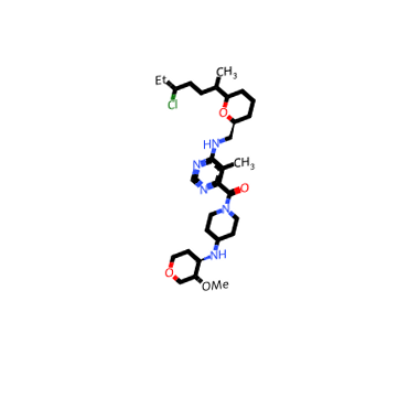 CCC(Cl)CCC(C)C1CCC[C@@H](CNc2ncnc(C(=O)N3CCC(N[C@@H]4CCOCC4OC)CC3)c2C)O1